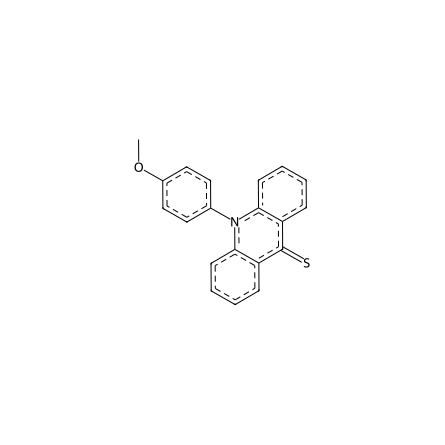 COc1ccc(-n2c3ccccc3c(=S)c3ccccc32)cc1